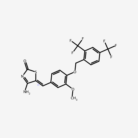 COc1cc(/C=C2\SC(=O)N=C2N)ccc1OCc1ccc(C(F)(F)F)cc1C(F)(F)F